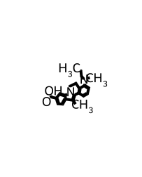 CCCN(C)c1cccc2c1CCn1c-2c(C)c2ccc(C(=O)O)cc21